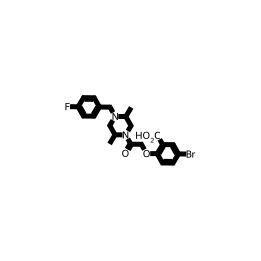 CC1CN(C(=O)COc2ccc(Br)cc2C(=O)O)C(C)CN1Cc1ccc(F)cc1